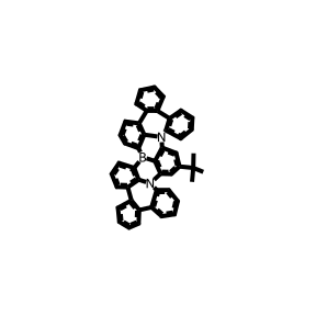 CC(C)(C)c1cc2c3c(c1)N1c4ccccc4-c4ccccc4-c4cccc(c41)B3c1cccc3c1N2c1ccccc1-c1ccccc1-3